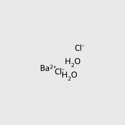 O.O.[Ba+2].[Cl-].[Cl-]